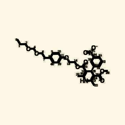 CCCOCOCCc1ccc(OCCOC(=O)C2=C(C)NC(C)=C(C(=O)OC)[C@@H]2c2cccc([N+](=O)[O-])c2)cc1